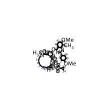 COc1ccc(-c2nc(O[C@@H]3C[C@H]4C(=O)N[C@]5(C(=O)NS(=O)(=O)C6CC6)C[C@H]5/C=C\CCCCN(C)C(=O)[C@@H]4C3)c3ccc(OC)c(C)c3n2)cc1